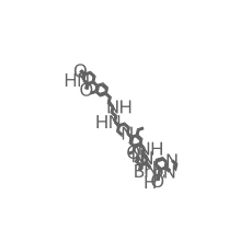 CCc1cc(Nc2ncc(Br)c(Nc3ccc4nccnc4c3P(C)(C)=O)n2)c(OC)cc1N1CCC(NCCNCCc2ccc(C3CCC(=O)NC3=O)c(C)c2)CC1